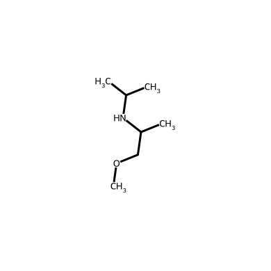 COCC(C)NC(C)C